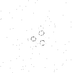 CC1(O)Cc2ccc(Nc3cc(N(C(=O)O)c4cccc(C(F)(F)F)c4)ncn3)cc2C1